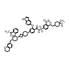 CC(C)c1ccccc1[C@@H]1CN(Cc2ccc3c(c2)OCCC3)CCN1C1CC2(CCN(c3ccc(C(=O)NS(=O)(=O)c4ccc(NCC5CCC(C)(O)CC5)c([N+](=O)[O-])c4)c(Oc4cnc5[nH]ccc5c4)c3)CC2)C1